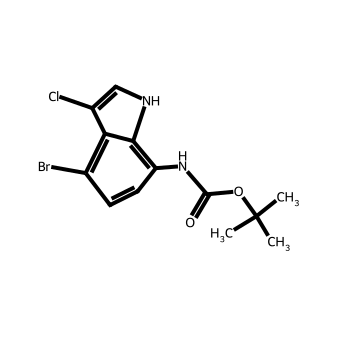 CC(C)(C)OC(=O)Nc1ccc(Br)c2c(Cl)c[nH]c12